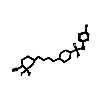 CCCC1CCC(CCCCC2CCC(C(F)(F)Oc3ccc(F)cc3)CC2)CC1(F)F